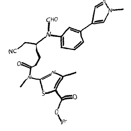 Cc1nc(N(C)C(=O)C[C@@H](CC#N)N(C=O)c2cccc(-c3cnn(C)c3)c2)sc1C(=O)OC(C)C